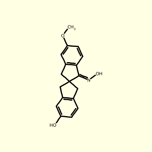 COc1ccc2c(c1)CC1(Cc3ccc(O)cc3C1)C2=NO